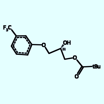 CC(C)(C)C(=O)OC[C@@H](O)COc1cccc(C(F)(F)F)c1